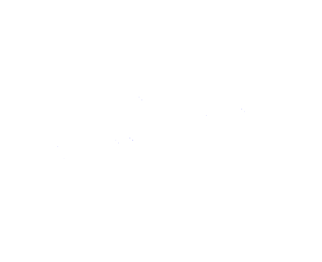 Cn1cc(-c2cn3nc4c5ncc(C(=O)NCCN6CCCOCC6)cc5[nH]c(=O)c4c3s2)cn1